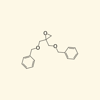 c1ccc(COCC2(COCc3ccccc3)CO2)cc1